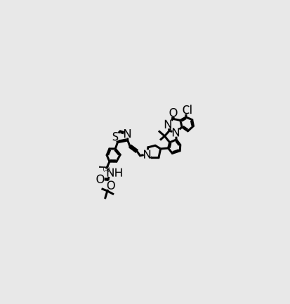 C[C@H](NC(=O)OC(C)(C)C)c1ccc(-c2scnc2C#CCN2CCC(c3cccc4c3C(C)(C)c3nc(=O)c5c(Cl)cccc5n3-4)CC2)cc1